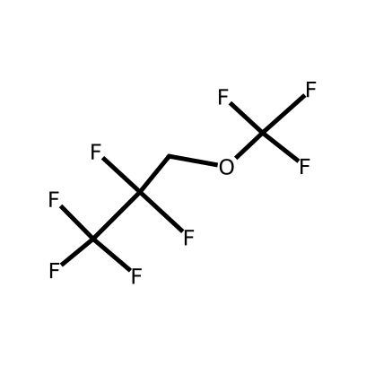 FC(F)(F)OCC(F)(F)C(F)(F)F